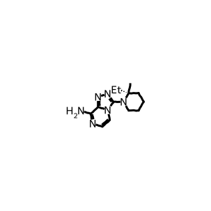 CC[C@]1(C)CCCCN1c1nnc2c(N)nccn12